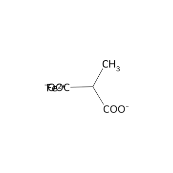 CC(C(=O)[O-])C(=O)[O-].[Fe+2]